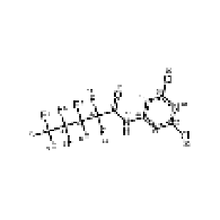 CC(F)(F)C(F)(F)C(F)(F)C(F)(F)C(=O)Nc1cc(Cl)nc(Cl)c1